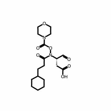 O=C[C@H](CC(=O)O)N(OC(=O)N1CCOCC1)C(=O)CCC1CCCCC1